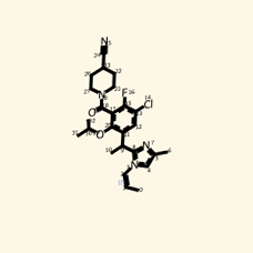 C/C=C\n1cc(C)nc1C(C)c1cc(Cl)c(F)c(C(=O)N2CCC(C#N)CC2)c1OC(C)C